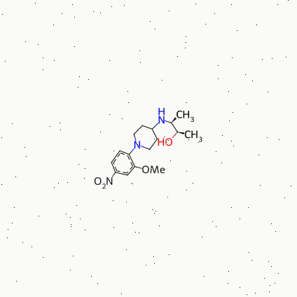 COc1cc([N+](=O)[O-])ccc1N1CCC(N[C@@H](C)[C@@H](C)O)CC1